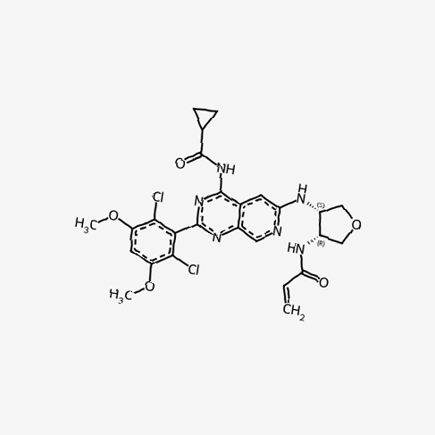 C=CC(=O)N[C@H]1COC[C@H]1Nc1cc2c(NC(=O)C3CC3)nc(-c3c(Cl)c(OC)cc(OC)c3Cl)nc2cn1